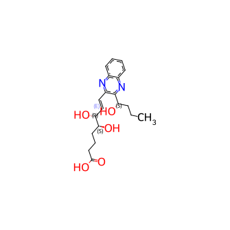 CCC[C@H](O)c1nc2ccccc2nc1/C=C/[C@@H](O)[C@@H](O)CCCC(=O)O